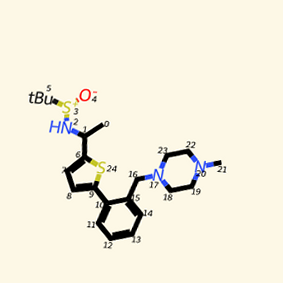 CC(N[S+]([O-])C(C)(C)C)c1ccc(-c2ccccc2CN2CCN(C)CC2)s1